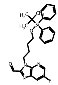 CC(C)(C)[Si](OCCCCn1c(C=O)nc2cc(F)cnc21)(c1ccccc1)c1ccccc1